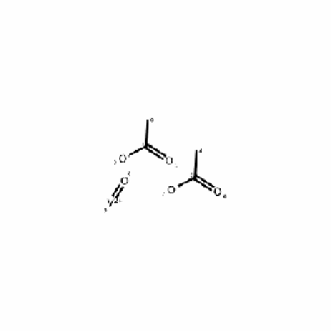 CC(=O)[O-].CC(=O)[O-].[O]=[V+2]